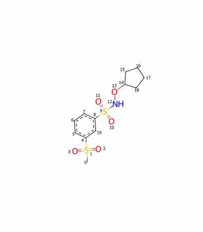 CS(=O)(=O)c1cccc(S(=O)(=O)NOC2CCCC2)c1